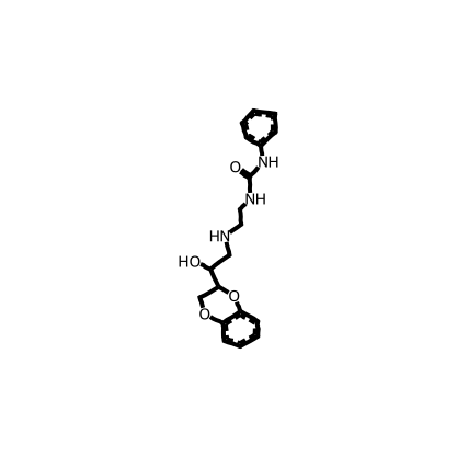 O=C(NCCNCC(O)C1COc2ccccc2O1)Nc1ccccc1